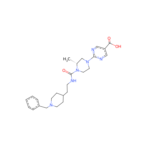 C[C@@H]1CN(c2ncc(C(=O)O)cn2)CCN1C(=O)NCCC1CCN(Cc2ccccc2)CC1